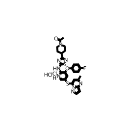 CC(=O)N1CCC(c2nsc(Nc3ncc(Sc4cc(C)nc5ccnn45)cc3Oc3ccc(F)cc3)n2)CC1.Cl.Cl